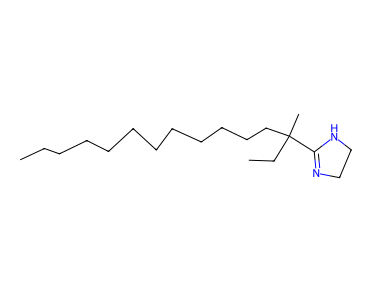 CCCCCCCCCCCCC(C)(CC)C1=NCCN1